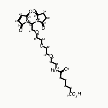 O=C(O)CCCCC(=O)NCCOCCOCCOCC(N1C(=O)C=CC1=O)N1C(=O)CCC1=O